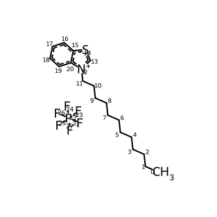 CCCCCCCCCCCC[n+]1csc2ccccc21.F[P-](F)(F)(F)(F)F